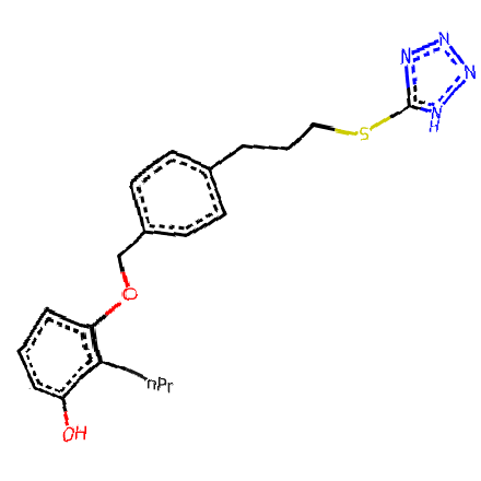 CCCc1c(O)[c]ccc1OCc1ccc(CCCSc2nnn[nH]2)cc1